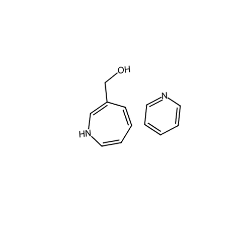 OCC1=CNC=CC=C1.c1ccncc1